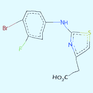 O=C(O)Cc1csc(Nc2ccc(Br)c(F)c2)n1